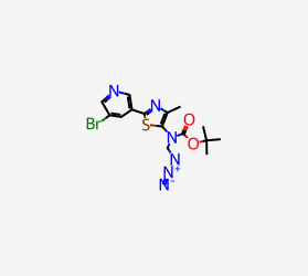 Cc1nc(-c2cncc(Br)c2)sc1N(CN=[N+]=[N-])C(=O)OC(C)(C)C